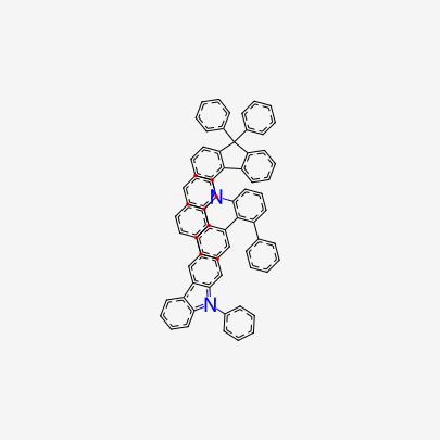 c1ccc(-c2ccccc2-c2c(-c3ccccc3)cccc2N(c2cccc(-c3ccc4c(c3)c3ccccc3n4-c3ccccc3)c2)c2cccc3c2-c2ccccc2C3(c2ccccc2)c2ccccc2)cc1